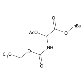 CCCCOC(=O)C(NC(=O)OCC(Cl)(Cl)Cl)OC(C)=O